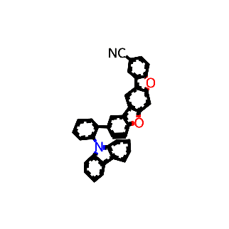 N#Cc1ccc2oc3cc4oc5c#cc(-c6ccccc6-n6c7ccccc7c7ccccc76)cc5c4cc3c2c1